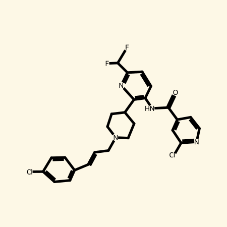 O=C(Nc1ccc(C(F)F)nc1C1CCN(C/C=C/c2ccc(Cl)cc2)CC1)c1ccnc(Cl)c1